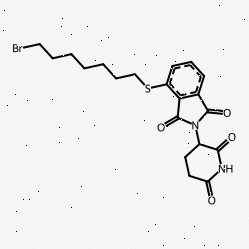 O=C1CCC(N2C(=O)c3cccc(SCCCCCCCBr)c3C2=O)C(=O)N1